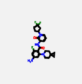 Nc1cc(F)c(C(=O)Nc2cccn(C3CCC(F)(F)C3)c2=O)c(N2CCC3(CC2)CC3)c1